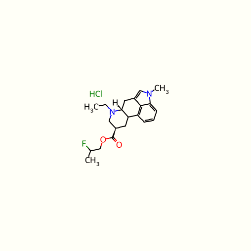 CCN1C[C@H](C(=O)OCC(C)F)CC2c3cccc4c3c(cn4C)C[C@H]21.Cl